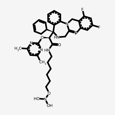 Cc1cc(C)nc(O[C@H](C(=O)NCCCCCCON(O)O)[C@@]2(C3C=CC=CC3)NCC(=O)N(Cc3c(F)cc(F)cc3F)c3ccccc32)n1